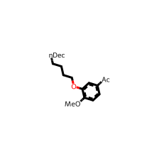 CCCCCCCCCCCCCCOc1cc(C(C)=O)ccc1OC